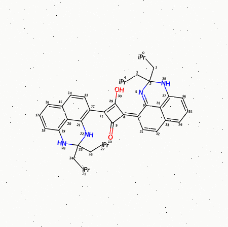 CC(C)CC1(CC(C)C)N=c2/c(=C3/C(=O)C(c4ccc5cccc6c5c4NC(CC(C)C)(CC(C)C)N6)=C3O)ccc3cccc(c23)N1